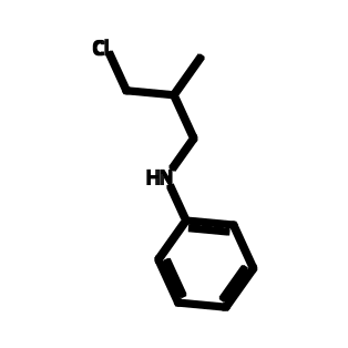 CC(CCl)CNc1ccccc1